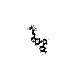 CCNC(=O)C=Cc1cnn2ccc(N3CCCC3c3cncc(F)c3)nc12